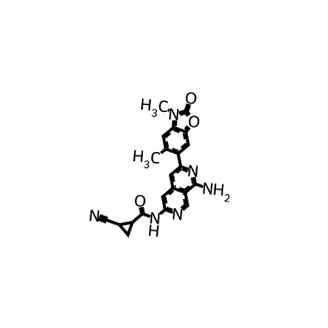 Cc1cc2c(cc1-c1cc3cc(NC(=O)C4CC4C#N)ncc3c(N)n1)oc(=O)n2C